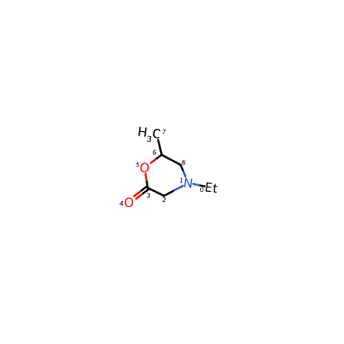 CCN1CC(=O)OC(C)C1